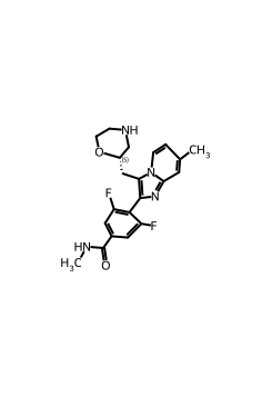 CNC(=O)c1cc(F)c(-c2nc3cc(C)ccn3c2C[C@H]2CNCCO2)c(F)c1